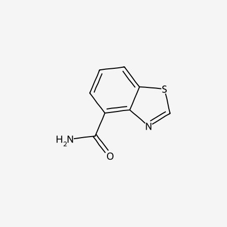 NC(=O)c1cccc2scnc12